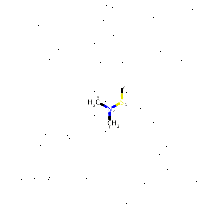 [C]SN(C)C